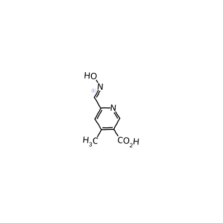 Cc1cc(/C=N/O)ncc1C(=O)O